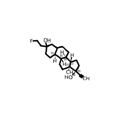 C#C[C@@]1(O)CC[C@H]2[C@@H]3CCC4CC(O)(CCF)CC[C@@H]4[C@H]3CC[C@@]21C